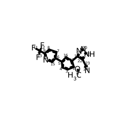 COc1ccc(-c2ccc(C(F)(F)F)nc2)cc1-c1nn[nH]c1C#N